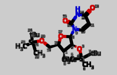 CO[C@H]1[C@@H](O[Si](C)(C)C(C)(C)C)[C@H](n2ccc(=O)[nH]c2=O)O[C@@H]1CO[Si](C)(C)C(C)(C)C